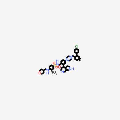 CC1(C)CCC(CN2CCN(c3ccc(C(=O)NS(=O)(=O)c4ccc(NCC5CCOCC5)c([N+](=O)[O-])c4)c(C4=C5CCNC=C5C=NC=C4)c3)CC2)=C(c2ccc(Cl)cc2)C1